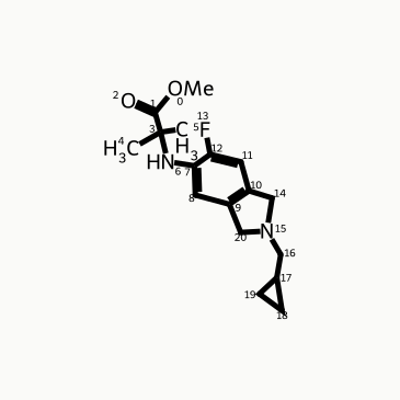 COC(=O)C(C)(C)Nc1cc2c(cc1F)CN(CC1CC1)C2